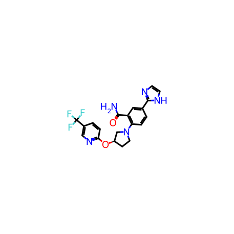 NC(=O)c1cc(-c2ncc[nH]2)ccc1N1CC[C@@H](Oc2ccc(C(F)(F)F)cn2)C1